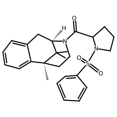 CC1(C)[C@H]2Cc3ccccc3[C@]1(C)CCN2C(=O)C1CCCN1S(=O)(=O)c1ccccc1